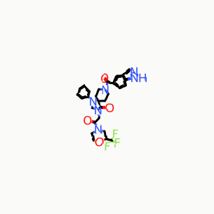 O=C(CN1CN(c2ccccc2)C2(CCN(C(=O)c3ccc4[nH]ncc4c3)CC2)C1=O)N1CCOC(C(F)(F)F)C1